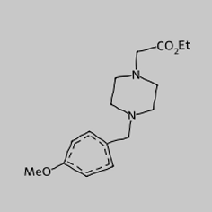 CCOC(=O)CN1CCN(Cc2ccc(OC)cc2)CC1